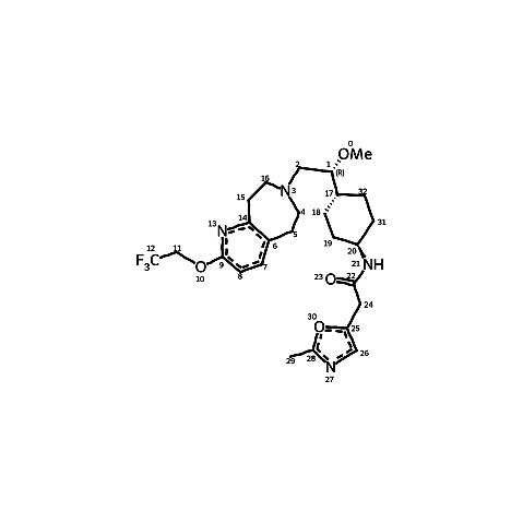 CO[C@@H](CN1CCc2ccc(OCC(F)(F)F)nc2CC1)[C@H]1CC[C@H](NC(=O)Cc2cnc(C)o2)CC1